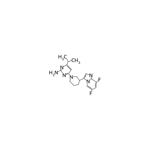 CC(C)c1cc(N2CCCC(c3cnc4c(F)cc(F)cn34)C2)nc(N)n1